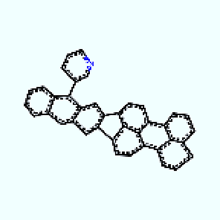 c1cncc(-c2c3ccccc3cc3cc4c(cc23)-c2ccc3c5cccc6cccc(c7ccc-4c2c73)c65)c1